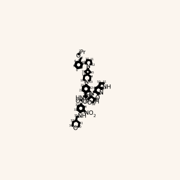 CC(C)OCc1ccccc1[C@@H]1CCCN1C1CC2(CCN(c3ccc(C(=O)NS(=O)(=O)c4ccc(NCC5CCOCC5)c([N+](=O)[O-])c4)c(N4c5cc6cc[nH]c6nc5O[C@@H]5COC[C@H]54)c3)CC2)C1